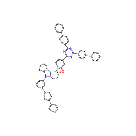 C1=CC2C(c3ccccc3N2c2cccc(-c3ccc(-c4ccccc4)cc3)c2)c2c1oc1cc(-c3nc(-c4ccc(-c5ccccc5)cc4)nc(-c4ccc(-c5ccccc5)cc4)n3)ccc21